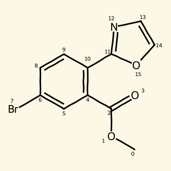 COC(=O)c1cc(Br)ccc1-c1ncco1